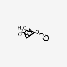 C/C1=C2/CC23C(=C2CC(=C1C=O)C2)C3OCCN1CCCCC1